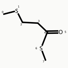 CSCCC(=O)SC